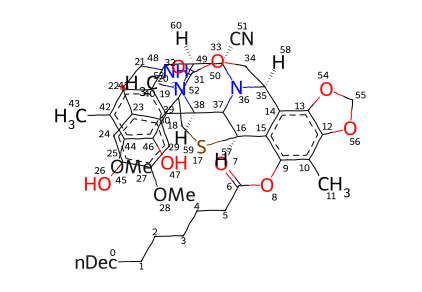 CCCCCCCCCCCCCCCC(=O)Oc1c(C)c2c(c3c1[C@H]1SC[C@]4(NCCc5cc(O)c(OC)cc54)C(=O)OC[C@@H]3N3C1[C@H]1c4c(cc(C)c(OC)c4O)C[C@@H]([C@@H]3C#N)N1C)OCO2